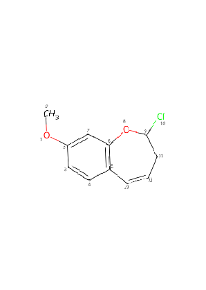 COc1ccc2c(c1)OC(Cl)C[C]=C2